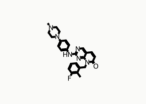 Cc1c(F)cccc1Cn1c(=O)ccc2cnc(Nc3ccc(N4CCN(C)CC4)cc3)nc21